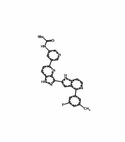 Cc1cc(F)cc(-c2nccc3[nH]c(-c4n[nH]c5ccc(-c6cncc(NC(=O)C(C)(C)C)c6)nc45)cc23)c1